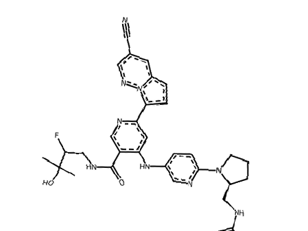 CC(=O)NC[C@@H]1CCCN1c1ccc(Nc2cc(-c3ccc4cc(C#N)cnn34)ncc2C(=O)NCC(F)C(C)(C)O)cn1